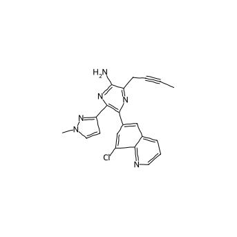 CC#CCc1nc(-c2cc(Cl)c3ncccc3c2)c(-c2ccn(C)n2)nc1N